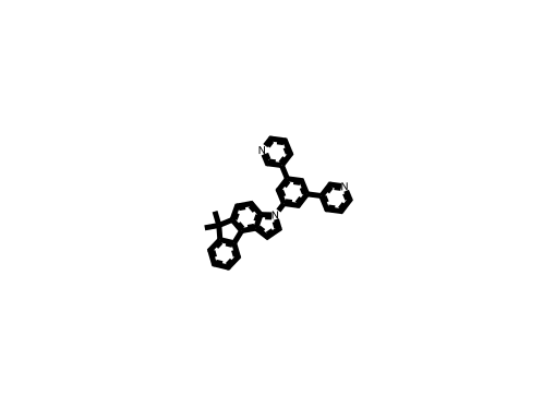 CC1(C)c2ccccc2-c2c1ccc1c2ccn1-c1cc(-c2cccnc2)cc(-c2cccnc2)c1